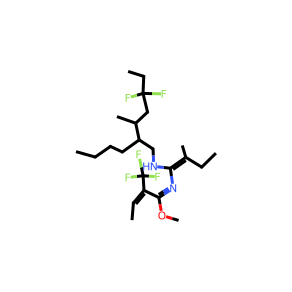 C\C=C(/C(=N\C(NCC(CCCC)C(C)CC(F)(F)CC)=C(\C)CC)OC)C(F)(F)F